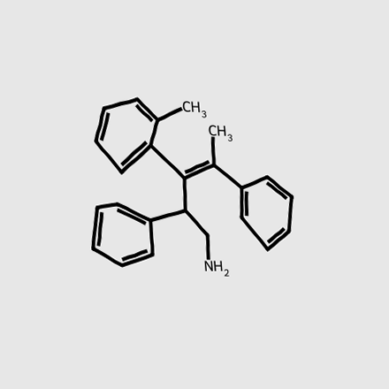 C/C(=C(\c1ccccc1C)C(CN)c1ccccc1)c1ccccc1